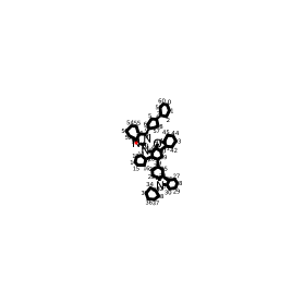 c1ccc(-c2ccc(-c3nc(-n4c5ccccc5c5c(-c6ccc7c(c6)c6ccccc6n7-c6ccccc6)cc6c7ccccc7oc6c54)nc4ccccc34)cc2)cc1